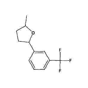 CC1CCC(c2cccc(C(F)(F)F)c2)O1